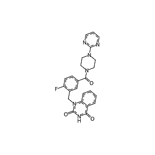 O=C(c1ccc(F)c(Cn2c(=O)[nH]c(=O)c3ccccc32)c1)N1CCN(c2ncccn2)CC1